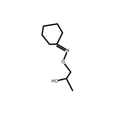 CC(O)CON=C1CCCCC1